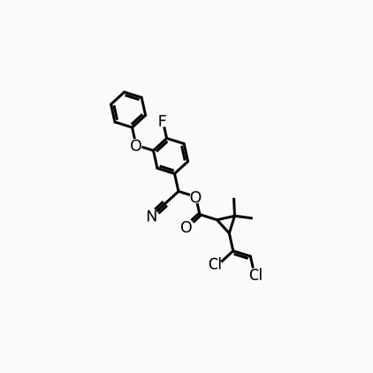 CC1(C)C(C(=O)OC(C#N)c2ccc(F)c(Oc3ccccc3)c2)C1/C(Cl)=C/Cl